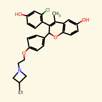 CCC1CN(CCOc2ccc(C3Oc4ccc(O)cc4C(C)=C3c3ccc(O)cc3Cl)cc2)C1